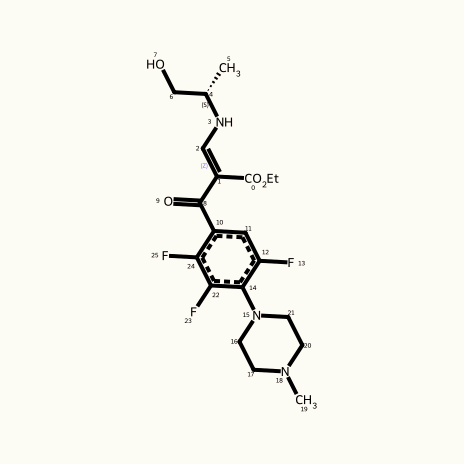 CCOC(=O)/C(=C\N[C@@H](C)CO)C(=O)c1cc(F)c(N2CCN(C)CC2)c(F)c1F